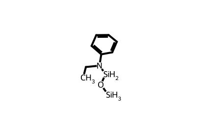 CCN([SiH2]O[SiH3])c1ccccc1